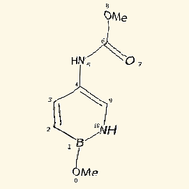 COB1C=CC(NC(=O)OC)=CN1